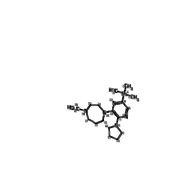 [CH3][Sn]([CH3])([CH3])[c]1cnc(N2CCCC2)c(N2CCCN(C(=O)O)CC2)n1